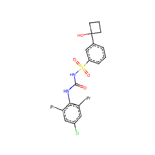 CC(C)c1cc(Cl)cc(C(C)C)c1NC(=O)NS(=O)(=O)c1cccc(C2(O)CCC2)c1